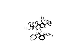 COc1ccccc1[C@H](Cn1nc(C(F)(F)C(=O)O)c(=O)c2c(C)c(-c3ncco3)sc21)OC1CCOCC1